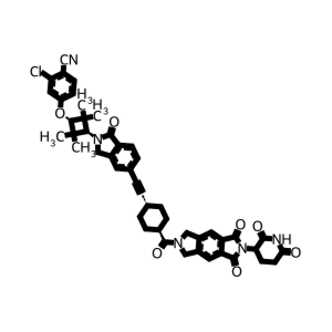 CC1(C)[C@H](Oc2ccc(C#N)c(Cl)c2)C(C)(C)[C@H]1N1Cc2cc(C#C[C@H]3CC[C@H](C(=O)N4Cc5cc6c(cc5C4)C(=O)N(C4CCC(=O)NC4=O)C6=O)CC3)ccc2C1=O